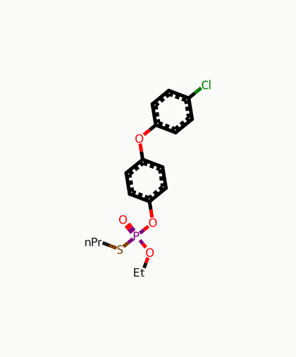 CCCSP(=O)(OCC)Oc1ccc(Oc2ccc(Cl)cc2)cc1